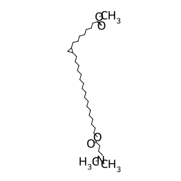 COC(=O)CCCCCCCC1CC1CCCCCCCCCCCCCCCCCCOC(=O)CCCN(C)C